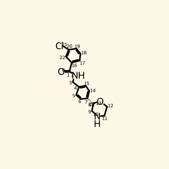 O=C(NCc1ccc([C@H]2CNCCO2)cc1)c1cccc(Cl)c1